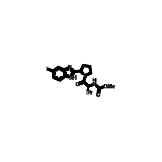 COC(=O)N[C@H](C(=O)N1CCCC1c1nc2cc(I)ccc2[nH]1)C(C)C